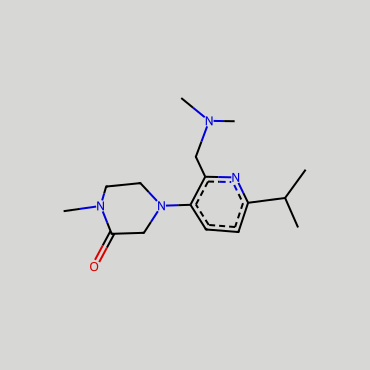 CC(C)c1ccc(N2CCN(C)C(=O)C2)c(CN(C)C)n1